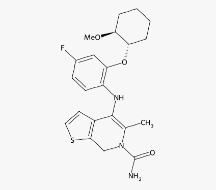 CO[C@H]1CCCC[C@@H]1Oc1cc(F)ccc1NC1=C(C)N(C(N)=O)Cc2sccc21